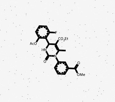 CCOC(=O)C1=C(C)N(c2cccc(C(=O)OC)c2)C(=O)NC1c1c(F)cccc1OC(C)=O